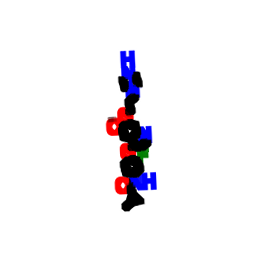 COc1cc2c(Oc3ccc(NC(=O)C4CC4C)cc3F)ccnc2cc1OCCCN1CCNCC1